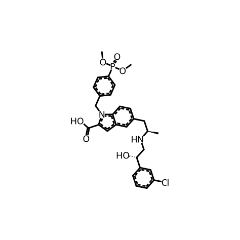 COP(=O)(OC)c1ccc(Cn2c(C(=O)O)cc3cc(C[C@@H](C)NC[C@@H](O)c4cccc(Cl)c4)ccc32)cc1